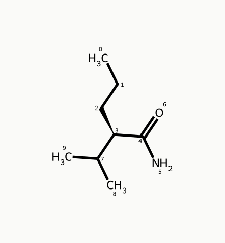 CCC[C@@H](C(N)=O)C(C)C